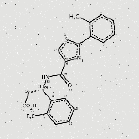 Cc1ccccc1-c1nc(C(=O)N[C@@H](CC(=O)O)c2ccccc2C(F)(F)F)cs1